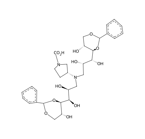 O=C(O)N1CC[C@@H](N(C[C@H](O)[C@@H](O)[C@@H]2OC(c3ccccc3)OC[C@H]2O)C[C@H](O)[C@@H](O)[C@@H]2OC(c3ccccc3)OC[C@H]2O)C1